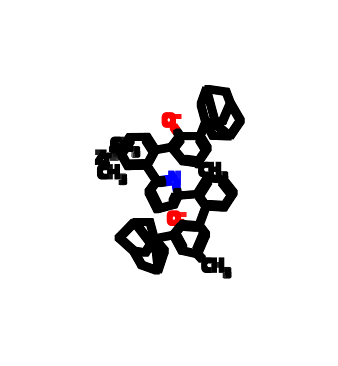 Cc1cc(-c2ccccc2-c2cccc(-c3ccccc3-c3cc(C)cc(C45CC6CC(CC(C6)C4)C5)c3[O-])n2)c([O-])c(C23CC4CC(CC(C4)C2)C3)c1.[CH3][Zr+2][CH3]